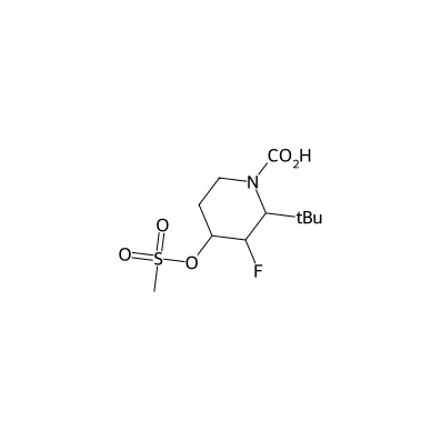 CC(C)(C)C1C(F)C(OS(C)(=O)=O)CCN1C(=O)O